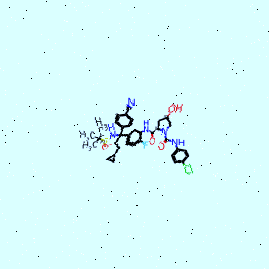 CC(C)(C)[S@+]([O-])NC(CCC1CC1)(c1ccc(C#N)cc1)c1ccc(F)c(NC(=O)[C@H]2C[C@@H](O)CN2C(=O)Nc2ccc(Cl)cc2)c1